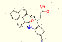 Cc1ccc2ccccc2c1C(C)C(=O)Nc1cc(C#N)ccc1CCCC(=O)O